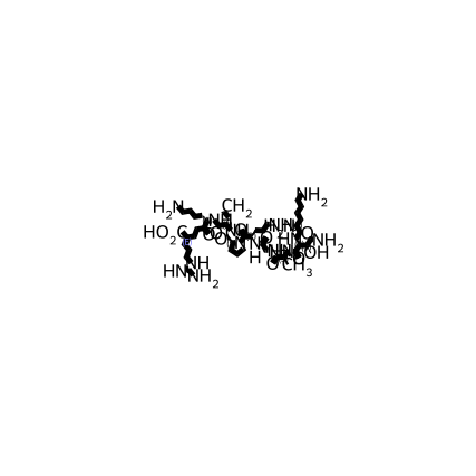 C=CC[C@H](NC(=O)[C@@H]1CCCN1C(=O)[C@@H](CCCN)NC(=O)CNC(=O)[C@H](C)NC(=O)[C@@H](NC(=O)[C@@H](N)CCCCN)[C@@H](O)CN)C(=O)N[C@@H](CCCCN)C(=O)CC/C(=C\CCNC(=N)N)C(=O)O